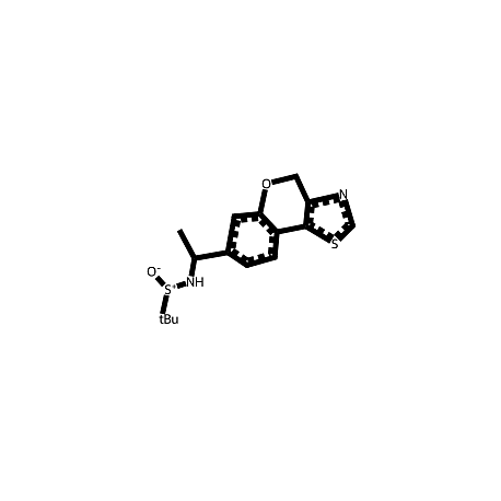 CC(N[S+]([O-])C(C)(C)C)c1ccc2c(c1)OCc1ncsc1-2